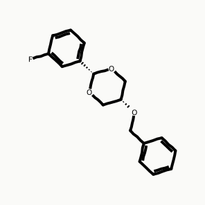 Fc1cccc([C@H]2OC[C@@H](OCc3ccccc3)CO2)c1